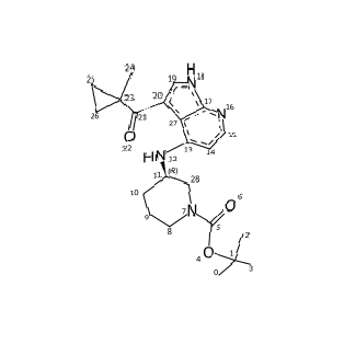 CC(C)(C)OC(=O)N1CCC[C@@H](Nc2ccnc3[nH]cc(C(=O)C4(C)CC4)c23)C1